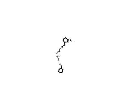 O=c1[nH]c2c(O)ccc(CCNCCCS(=O)(=O)NCCOCCc3ccccc3)c2s1